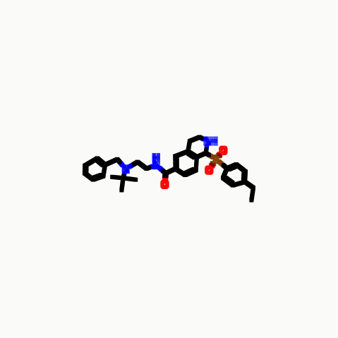 CCc1ccc(S(=O)(=O)C2NCCc3cc(C(=O)NCCN(Cc4ccccc4)C(C)(C)C)ccc32)cc1